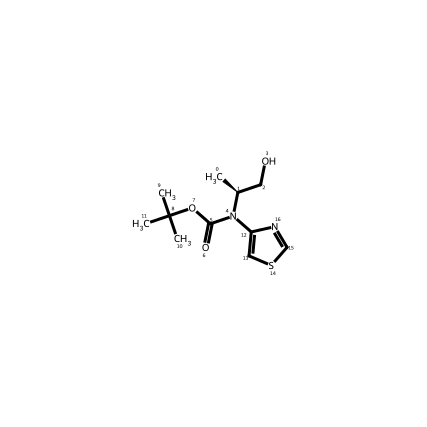 C[C@@H](CO)N(C(=O)OC(C)(C)C)c1cscn1